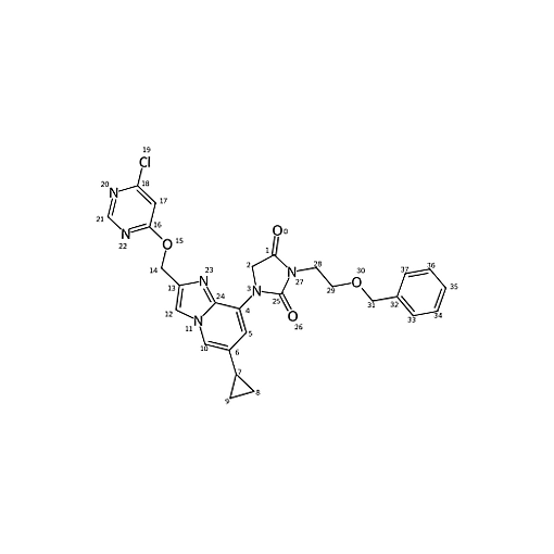 O=C1CN(c2cc(C3CC3)cn3cc(COc4cc(Cl)ncn4)nc23)C(=O)N1CCOCc1ccccc1